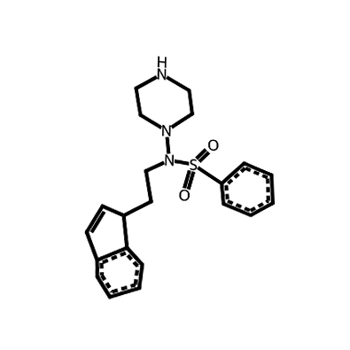 O=S(=O)(c1ccccc1)N(CCC1C=Cc2ccccc21)N1CCNCC1